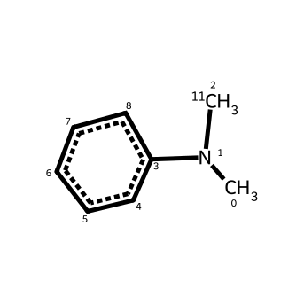 CN([11CH3])c1ccccc1